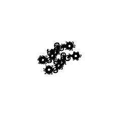 O=C(OCc1ccccc1)N1CC2=C[C@@H](Oc3ccccc3)C[C@@H]2C1.O=C(OCc1ccccc1)N1CC2=C[C@H](Oc3ccccc3)C[C@H]2C1